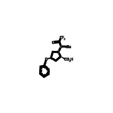 CC(C)(C)N(C(=O)C(F)(F)F)N1C[C@@H](Oc2ccccc2)C[C@H]1C(=O)O